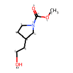 COC(=O)N1CCC(CCO)C1